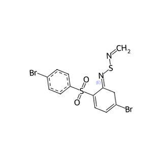 C=NS/N=C1\CC(Br)=CC=C1S(=O)(=O)c1ccc(Br)cc1